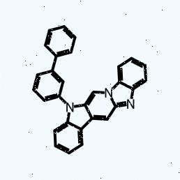 c1ccc(-c2cccc(-n3c4ccccc4c4cc5nc6ccccc6n5cc43)c2)cc1